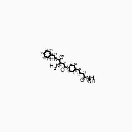 N[C@H](CC(=O)N1CCC(CCCC(=O)NO)CC1)C(=O)NCc1ccccc1